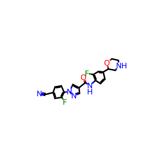 N#Cc1ccc(-n2cc(C(=O)Nc3ccc(C4CNCCO4)cc3F)cn2)c(F)c1